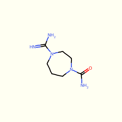 N=C(N)N1CCCN(C(N)=O)CC1